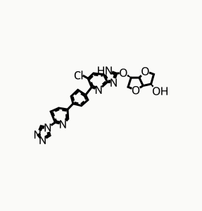 O[C@@H]1COC2C1OC[C@H]2Oc1nc2nc(-c3ccc(-c4ccc(-n5cnnc5)nc4)cc3)c(Cl)cc2[nH]1